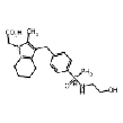 Cc1c(Cc2ccc([SH](=O)(P)NCCO)cc2)c2c(n1CC(=O)O)CCCC2